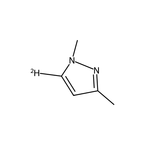 [2H]c1cc(C)nn1C